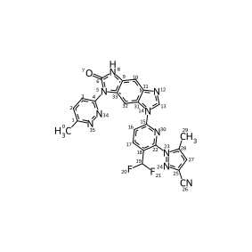 Cc1ccc(-n2c(=O)[nH]c3cc4ncn(-c5ccc(C(F)F)c(-n6nc(C#N)cc6C)n5)c4cc32)nn1